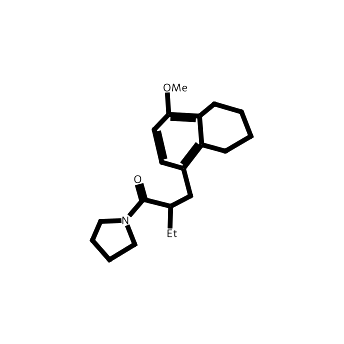 CCC(Cc1ccc(OC)c2c1CCCC2)C(=O)N1CCCC1